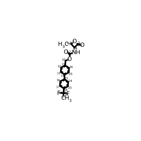 C[C@@H]1OC(=O)[C@@H]1NC(=O)OCc1ccc(-c2ccc(C(C)(F)F)cc2)cc1